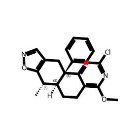 COc1nc(Cl)nc2c1CC[C@H]1[C@H](C)c3oncc3C[C@]21c1ccccc1